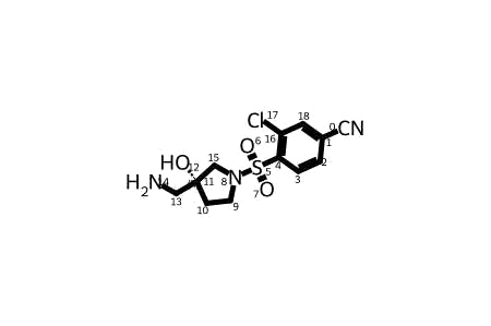 N#Cc1ccc(S(=O)(=O)N2CC[C@@](O)(CN)C2)c(Cl)c1